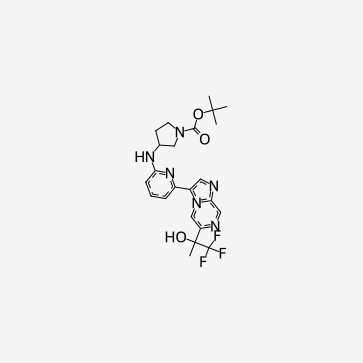 CC(C)(C)OC(=O)N1CCC(Nc2cccc(-c3cnc4cnc(C(C)(O)C(F)(F)F)cn34)n2)C1